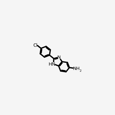 Nc1ccc2[nH]c(-c3ccc(Cl)cc3)nc2c1